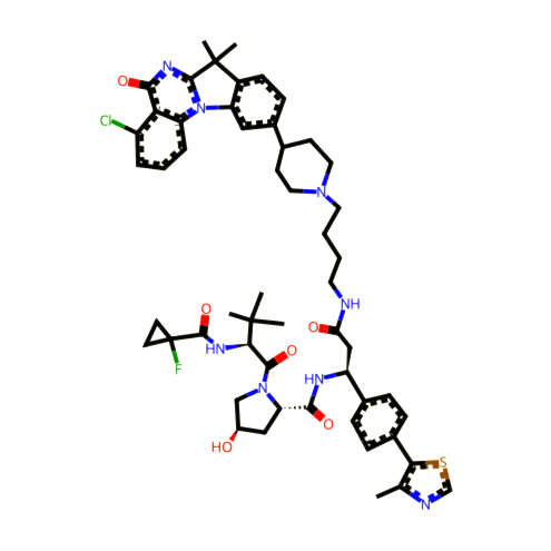 Cc1ncsc1-c1ccc([C@H](CC(=O)NCCCCN2CCC(c3ccc4c(c3)-n3c(nc(=O)c5c(Cl)cccc53)C4(C)C)CC2)NC(=O)[C@@H]2C[C@@H](O)CN2C(=O)[C@@H](NC(=O)C2(F)CC2)C(C)(C)C)cc1